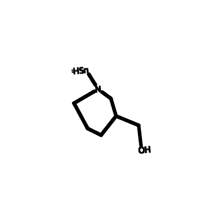 OCC1CCC[N]([SnH])C1